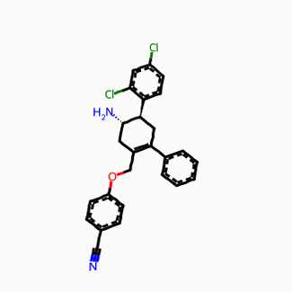 N#Cc1ccc(OCC2=C(c3ccccc3)C[C@H](c3ccc(Cl)cc3Cl)[C@@H](N)C2)cc1